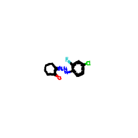 O=C1CCCC/C1=N/Nc1ccc(Cl)cc1F